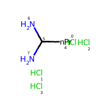 Cl.Cl.Cl.Cl.[CH2]CCC(N)N